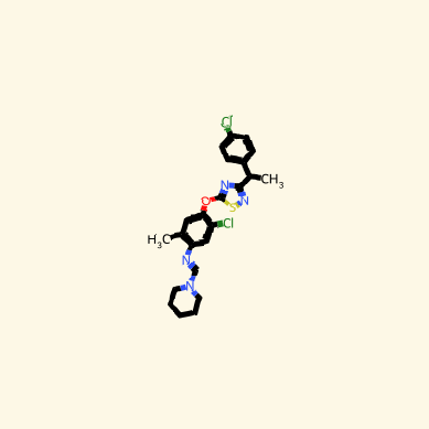 Cc1cc(Oc2nc(C(C)c3ccc(Cl)cc3)ns2)c(Cl)cc1N=CN1CCCCC1